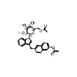 CC(=O)OC[C@H]1O[C@@H](n2cc(Cc3ccc4cc(OC(C)=O)ccc4c3)c3ccccc32)[C@H](O)[C@@H](O)[C@@H]1O